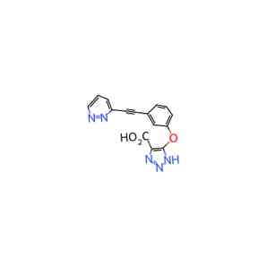 O=C(O)c1nn[nH]c1Oc1cccc(C#Cc2cccnn2)c1